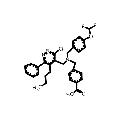 CCCCc1c(-c2ccccc2)nnc(Cl)c1CN(Cc1ccc(OC(F)F)cc1)Cc1ccc(C(=O)O)cc1